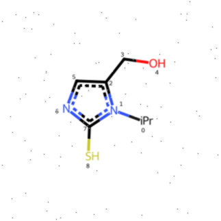 CC(C)n1c(CO)cnc1S